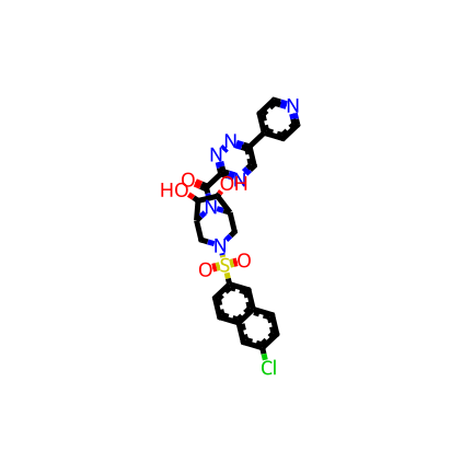 O=C(c1ncc(-c2ccncc2)nn1)N1C2CN(S(=O)(=O)c3ccc4cc(Cl)ccc4c3)CC1C(O)C2O